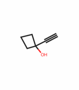 C#CC1(O)CCC1